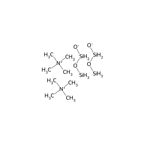 C[N+](C)(C)C.C[N+](C)(C)C.[O-][SiH2]O[SiH3].[O-][SiH2]O[SiH3]